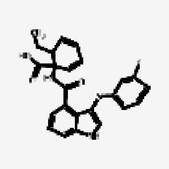 CCC1C=CC=CC1(NC(=O)c1cccc2[nH]cc(Sc3cccc(Cl)c3)c12)C(=O)O